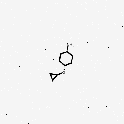 N[C@H]1CC[C@H](OC2CC2)CC1